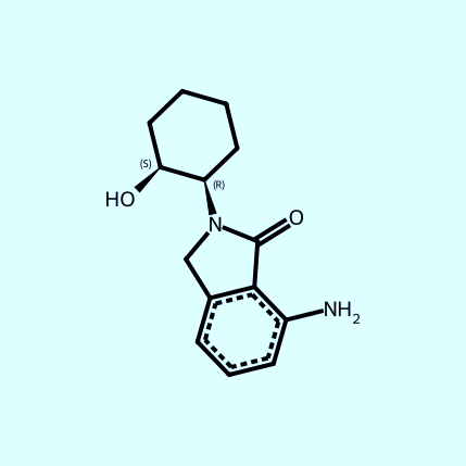 Nc1cccc2c1C(=O)N([C@@H]1CCCC[C@@H]1O)C2